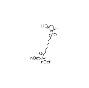 CCCCCCCCC(CCCCCCCC)OC(=O)CCCCCCCOC(=O)[C@@H]1C[C@H](O)CCN1